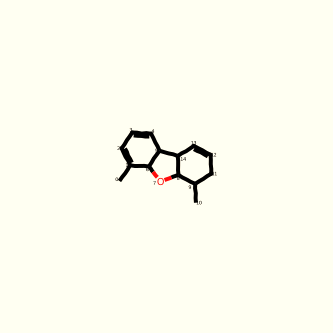 CC1=CC=CC2C1OC1C(C)CC=CC21